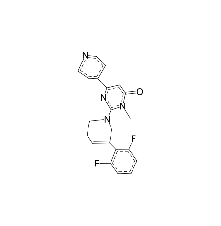 Cn1c(N2CCC=C(c3c(F)cccc3F)C2)nc(-c2ccncc2)cc1=O